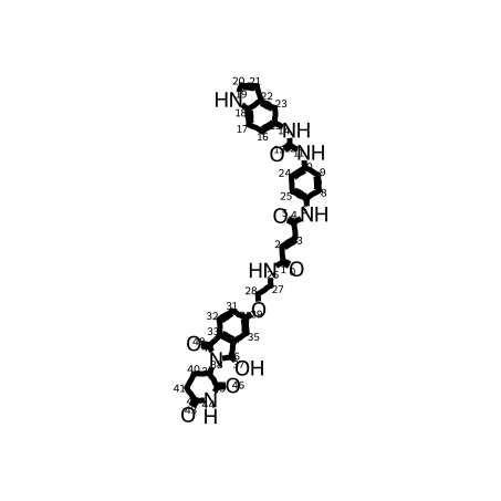 O=C(/C=C/C(=O)Nc1ccc(NC(=O)Nc2ccc3[nH]ccc3c2)cc1)NCCOc1ccc2c(c1)C(O)N(C1CCC(=O)NC1=O)C2=O